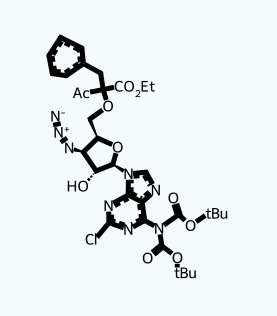 CCOC(=O)C(Cc1ccccc1)(OC[C@H]1O[C@@H](n2cnc3c(N(C(=O)OC(C)(C)C)C(=O)OC(C)(C)C)nc(Cl)nc32)[C@H](O)[C@H]1N=[N+]=[N-])C(C)=O